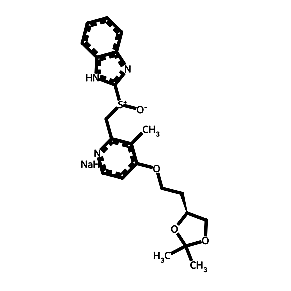 Cc1c(OCC[C@H]2COC(C)(C)O2)ccnc1C[S+]([O-])c1nc2ccccc2[nH]1.[NaH]